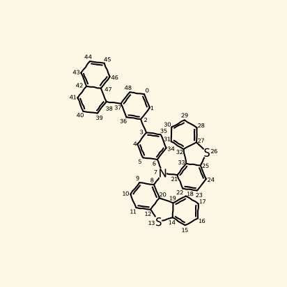 c1cc(-c2ccc(N(c3cccc4sc5ccccc5c34)c3cccc4sc5ccccc5c34)cc2)cc(-c2cccc3ccccc23)c1